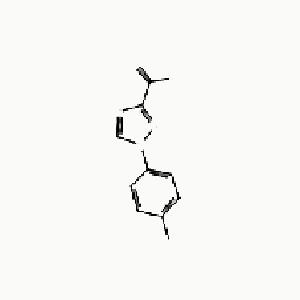 Cc1ccc(-n2cnc(C(=O)O)n2)cc1